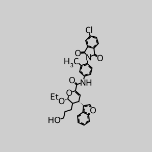 CCO[C@@H]1OC(C(=O)Nc2ccc(N3C(=O)c4ccc(Cl)cc4C3=O)c(C)c2)=C[C@H](c2coc3ccccc23)C1CCCO